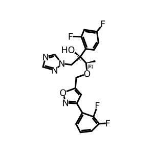 C[C@@H](OCc1cc(-c2cccc(F)c2F)no1)[C@](O)(Cn1cncn1)c1ccc(F)cc1F